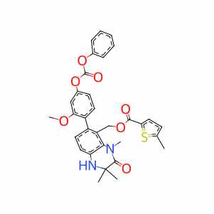 COc1cc(OC(=O)Oc2ccccc2)ccc1-c1ccc2c(c1COC(=O)c1ccc(C)s1)N(C)C(=O)C(C)(C)N2